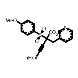 CCCCCCC#CC(Cc1cccnc1)(C(=O)O)S(=O)(=O)c1ccc(OC)cc1